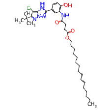 CCCCCCCCCCCCCCCCOC(=O)CCC(=O)Nc1cc(-c2nn3nc(C(C)(C)C)c(Cl)c3[nH]2)ccc1O